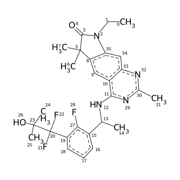 CCN1C(=O)C(C)(C)c2cc3c(NC(C)c4cccc(C(F)(F)C(C)(C)O)c4F)nc(C)nc3cc21